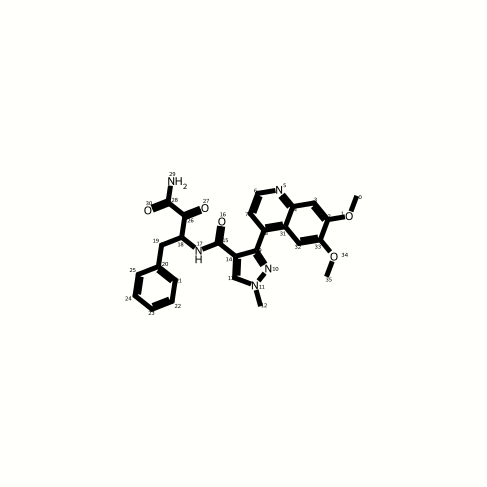 COc1cc2nccc(-c3nn(C)cc3C(=O)NC(Cc3ccccc3)C(=O)C(N)=O)c2cc1OC